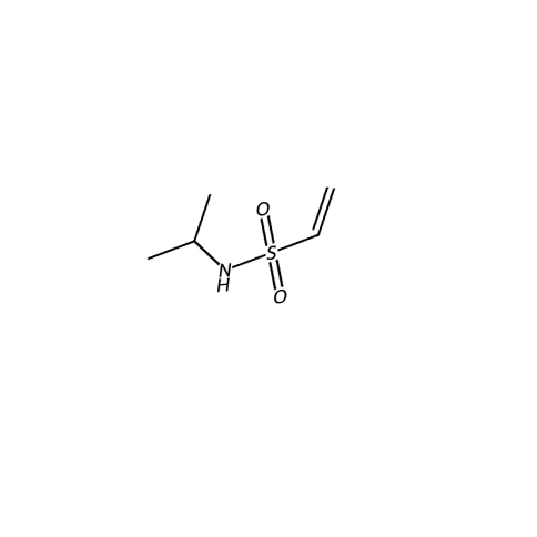 C=CS(=O)(=O)NC(C)C